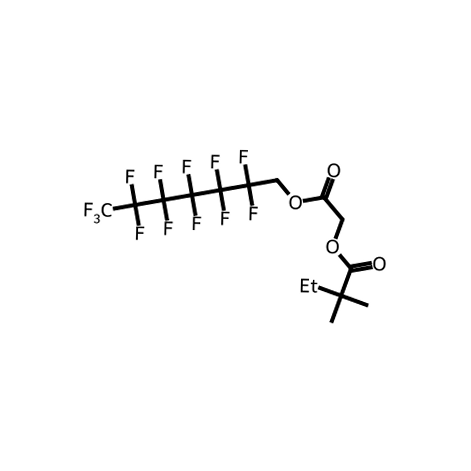 CCC(C)(C)C(=O)OCC(=O)OCC(F)(F)C(F)(F)C(F)(F)C(F)(F)C(F)(F)C(F)(F)F